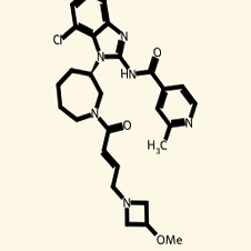 COC1CN(CC=CC(=O)N2CCCC[C@@H](n3c(NC(=O)c4ccnc(C)c4)nc4cccc(Cl)c43)C2)C1